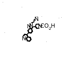 CN(C)CCCn1nc2cc(-c3ccnc4ccccc34)ccc2c1C1=CCN(C(=O)O)CC1